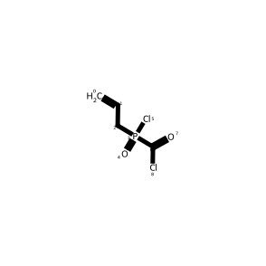 C=CCP(=O)(Cl)C(=O)Cl